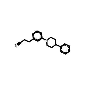 N#CCCc1cccc(N2CCC(c3ccccc3)CC2)c1